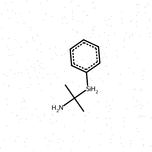 CC(C)(N)[SiH2]c1ccccc1